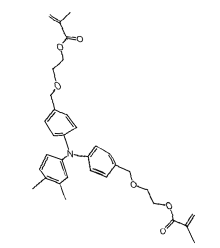 C=C(C)C(=O)OCCOCc1ccc(N(c2ccc(COCCOC(=O)C(=C)C)cc2)c2ccc(C)c(C)c2)cc1